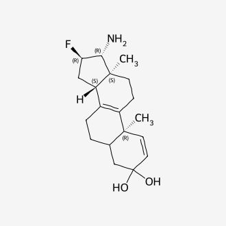 C[C@]12CCC3=C(CCC4CC(O)(O)C=C[C@]34C)[C@@H]1C[C@@H](F)[C@@H]2N